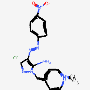 C[n+]1ccc(Cn2ncc(N=Nc3ccc([N+](=O)[O-])cc3)c2N)cc1.[Cl-]